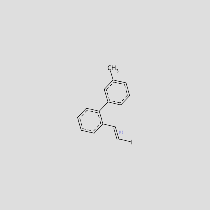 Cc1cccc(-c2ccccc2/C=C/I)c1